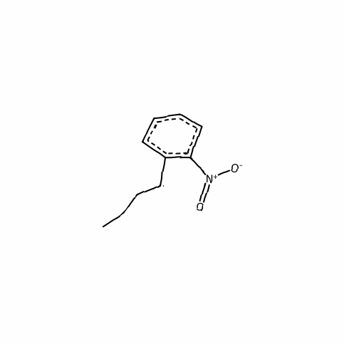 CCC[CH]c1ccccc1[N+](=O)[O-]